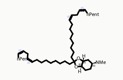 CCCCC/C=C\C/C=C\CCCCCCCCC1(CCCCCCCC/C=C\C/C=C\CCCCC)O[C@@H]2CC[C@H](NC)C[C@H]2O1